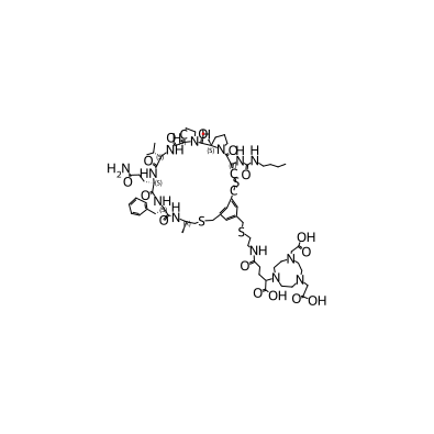 CCCCNC(=O)N[C@H]1CSCc2cc(CSCCNC(=O)CCC(C(=O)O)N3CCN(CC(=O)O)CCN(CC(=O)O)CC3)cc(c2)CSC[C@@H](C)NC(=O)[C@H](Cc2ccccc2)NC(=O)[C@H](CCC(N)=O)NC(=O)[C@H](C(C)C)NC(=O)[C@@H]2CCCN2C(=O)[C@@H]2CCCN2C1=O